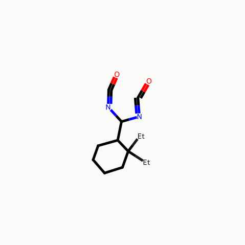 CCC1(CC)CCCCC1C(N=C=O)N=C=O